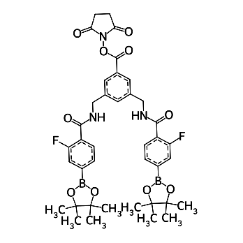 CC1(C)OB(c2ccc(C(=O)NCc3cc(CNC(=O)c4ccc(B5OC(C)(C)C(C)(C)O5)cc4F)cc(C(=O)ON4C(=O)CCC4=O)c3)c(F)c2)OC1(C)C